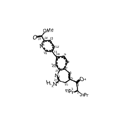 CCCC(CCC)C(=O)C1=Cc2ccc(-c3ccc(C(=O)OC)nc3)cc2N=C(N)C1